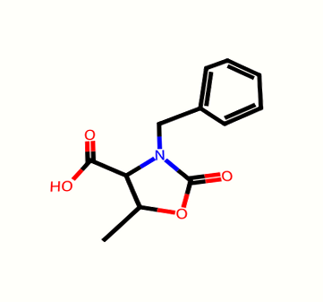 CC1OC(=O)N(Cc2ccccc2)C1C(=O)O